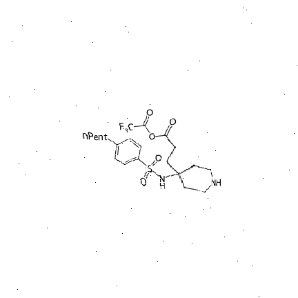 CCCCCc1ccc(S(=O)(=O)NC2(CCC(=O)OC(=O)C(F)(F)F)CCNCC2)cc1